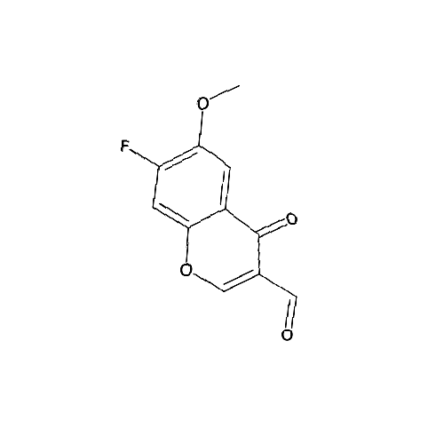 COc1cc2c(=O)c(C=O)coc2cc1F